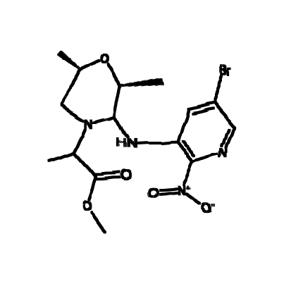 COC(=O)C(C)N1C[C@@H](C)O[C@@H](C)C1Nc1cc(Br)cnc1[N+](=O)[O-]